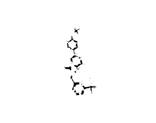 O=c1n(Cc2cccc(C(F)(F)F)n2)nc2ccc(-c3ccc(OC(F)(F)F)cc3)cn12